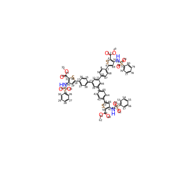 COC(=O)c1sc(-c2ccc(-c3cc(-c4ccc(-c5cc(NS(=O)(=O)c6ccccc6)c(C(=O)OC)s5)cc4)cc(-c4ccc(-c5cc(NS(=O)(=O)c6ccccc6)c(C(=O)OC)s5)cc4)c3)cc2)cc1NS(=O)(=O)c1ccccc1